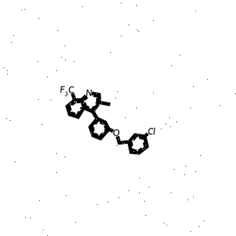 Cc1cnc2c(C(F)(F)F)cccc2c1-c1cccc(OCc2cccc(Cl)c2)c1